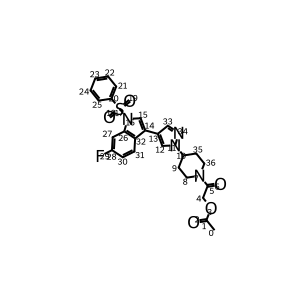 CC(=O)OCC(=O)N1CCC(n2cc(-c3cn(S(=O)(=O)c4ccccc4)c4cc(F)ccc34)cn2)CC1